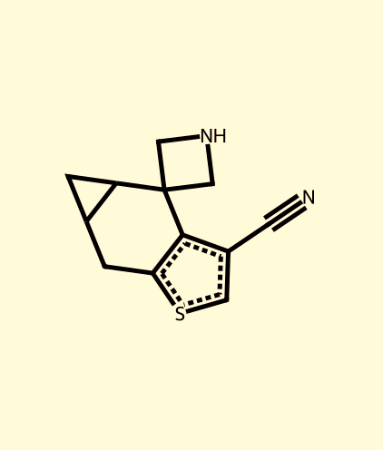 N#Cc1csc2c1C1(CNC1)C1CC1C2